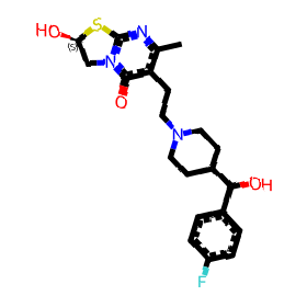 Cc1nc2n(c(=O)c1CCN1CCC(C(O)c3ccc(F)cc3)CC1)C[C@@H](O)S2